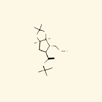 CC(C)(C)OC(=O)C1C[C@@H]2OC(C)(C)O[C@@H]2[C@H]1CON